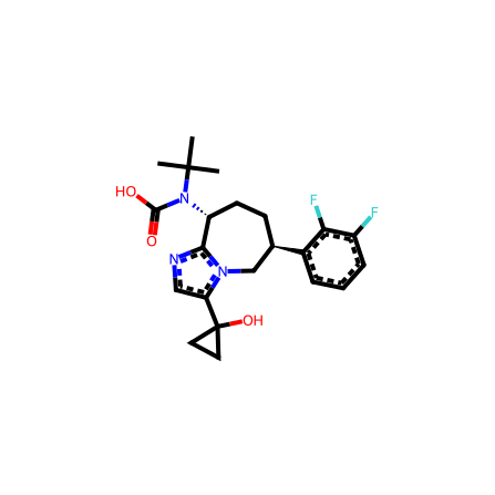 CC(C)(C)N(C(=O)O)[C@@H]1CC[C@@H](c2cccc(F)c2F)Cn2c(C3(O)CC3)cnc21